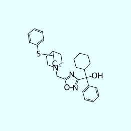 OC(c1ccccc1)(c1noc(C[N+]23CCC(CC2)C(Sc2ccccc2)C3)n1)C1CCCCC1